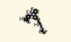 CC/C(=C(/c1ccc(OCCNC/C=C/C(=O)N(C)C)cc1)c1ccc2[nH]nc(F)c2c1)c1ccccc1F